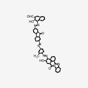 Cc1cc(N=Nc2ccc3c(c2)C(=O)c2cc(N=Nc4c(O)c(C=O)cc5ccccc45)ccc2-3)ccc1N=Nc1c(O)cc2c(=O)n3c4ccccc4nc3c3cccc1c23